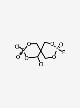 O=P1(F)OCC2(CO1)COP(=O)(Cl)OC2Cl